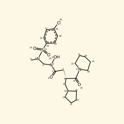 CN(CN(O)C(=O)C[C@@H](CC1CCCC1)C(=O)N1CCCCC1)S(=O)(=O)c1ccc(Cl)cc1